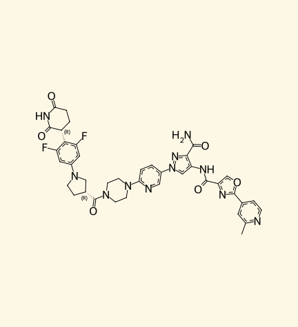 Cc1cc(-c2nc(C(=O)Nc3cn(-c4ccc(N5CCN(C(=O)[C@@H]6CCN(c7cc(F)c([C@H]8CCC(=O)NC8=O)c(F)c7)C6)CC5)nc4)nc3C(N)=O)co2)ccn1